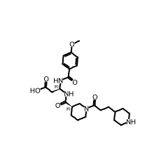 COc1ccc(C(=O)N[C@H](CC(=O)O)NC(=O)[C@@H]2CCCN(C(=O)CCC3CCNCC3)C2)cc1